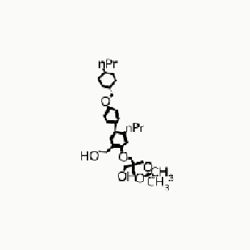 CCCc1cc(OCC2(CO)COC(C)(C)OC2)c(CCO)cc1-c1ccc(OC[C@H]2CC[C@H](CCC)CC2)cc1